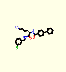 NCCCC[C@H](NC(=O)c1ccc(-c2ccccc2)cc1)C(=O)NCc1cccc(Cl)c1